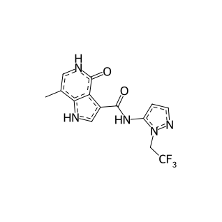 Cc1c[nH]c(=O)c2c(C(=O)Nc3ccnn3CC(F)(F)F)c[nH]c12